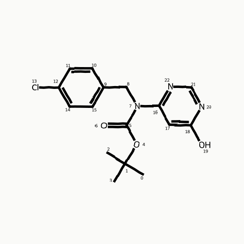 CC(C)(C)OC(=O)N(Cc1ccc(Cl)cc1)c1cc(O)ncn1